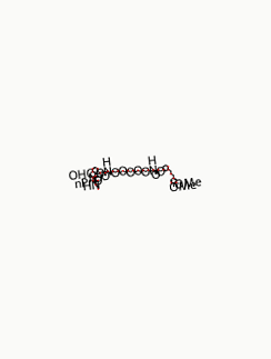 C=CNC(=O)C(CCC)N(C)C(=O)c1c(C=O)cccc1OCC(=O)NCCOCCOCCOCCOCCOCCNC(=O)COC1=CC(CCCc2ccc(OC)c(OC)c2)=CCC1